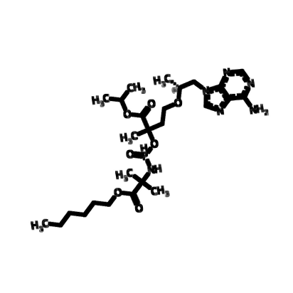 CCCCCCOC(=O)C(C)(C)N[PH](=O)OC(C)(CCO[C@H](C)Cn1cnc2c(N)ncnc21)C(=O)OC(C)C